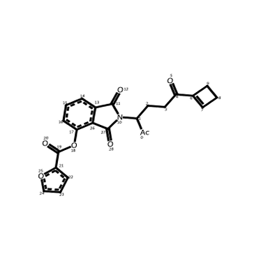 CC(=O)C(CCC(=O)C1=CCC1)N1C(=O)c2cccc(OC(=O)c3ccco3)c2C1=O